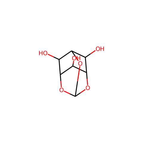 OC1C2OC3OC1C(O)C(O3)C2O